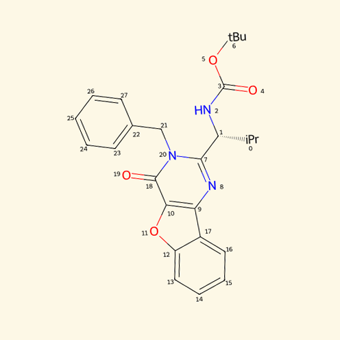 CC(C)[C@@H](NC(=O)OC(C)(C)C)c1nc2c(oc3ccccc32)c(=O)n1Cc1ccccc1